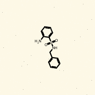 Nc1ccccc1S(=O)(=O)NCc1ccccc1